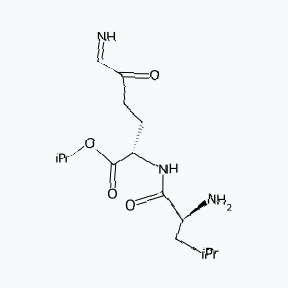 CC(C)C[C@H](N)C(=O)N[C@@H](CCC(=O)C=N)C(=O)OC(C)C